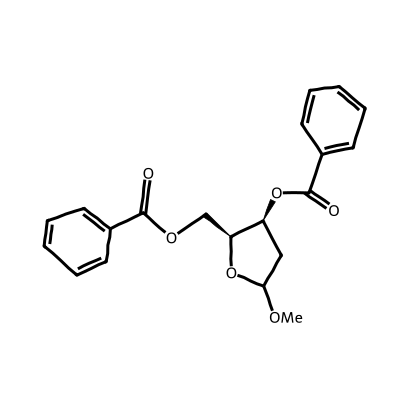 COC1C[C@H](OC(=O)c2ccccc2)[C@H](COC(=O)c2ccccc2)O1